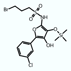 C[Si](C)(C)Oc1c(NS(=O)(=O)CCCBr)oc(-c2cccc(Cl)c2)c1O